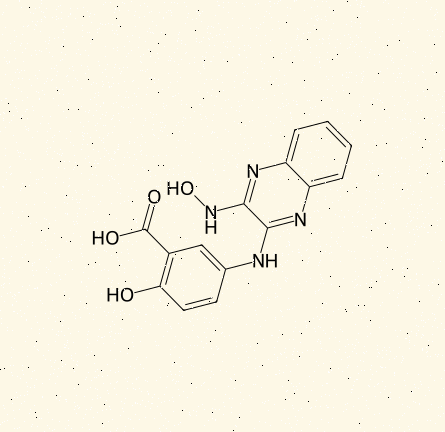 O=C(O)c1cc(Nc2nc3ccccc3nc2NO)ccc1O